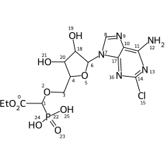 CCOC(=O)C(OCC1OC(n2cnc3c(N)nc(Cl)nc32)C(O)C1O)P(=O)(O)O